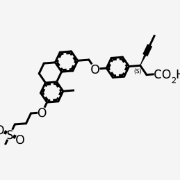 CC#C[C@@H](CC(=O)O)c1ccc(OCc2ccc3c(c2)-c2c(C)cc(OCCCS(C)(=O)=O)cc2CC3)cc1